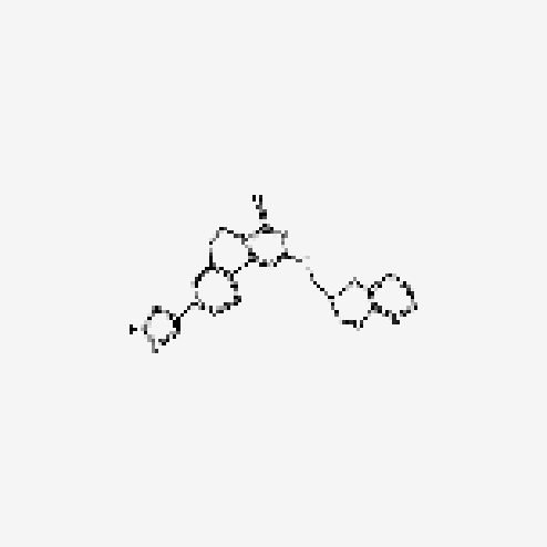 O=c1nc(OCC2COc3ncccc3O2)cc2n1CCc1cc(-c3cn[nH]c3)ccc1-2